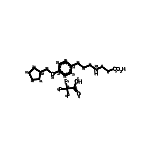 O=C(O)C(F)(F)F.O=C(O)CCNCCCc1ccc(OCC2CCCC2)cc1